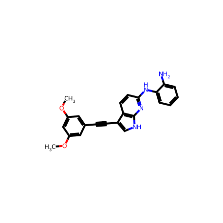 COc1cc(C#Cc2c[nH]c3nc(Nc4ccccc4N)ccc23)cc(OC)c1